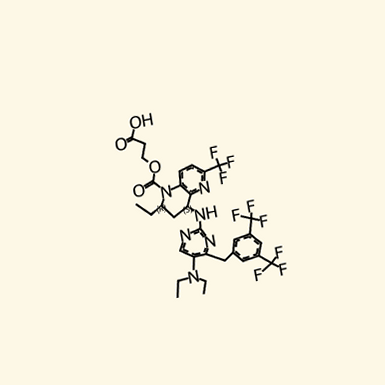 CC[C@@H]1C[C@H](Nc2ncc(N(CC)CC)c(Cc3cc(C(F)(F)F)cc(C(F)(F)F)c3)n2)c2nc(C(F)(F)F)ccc2N1C(=O)OCCC(=O)O